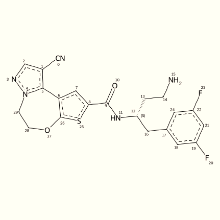 N#Cc1cnn2c1-c1cc(C(=O)N[C@H](CCN)Cc3cc(F)cc(F)c3)sc1OCC2